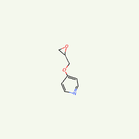 c1cc(OCC2CO2)ccn1